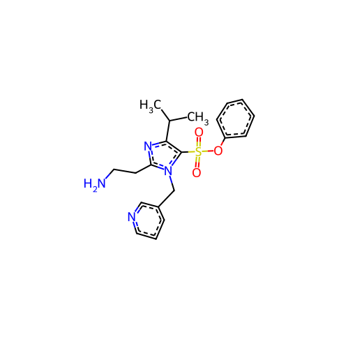 CC(C)c1nc(CCN)n(Cc2cccnc2)c1S(=O)(=O)Oc1ccccc1